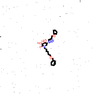 O=C1C(O)C(O)C(n2cc(COc3ccccc3)nn2)CN1CCCCCCOCc1ccccc1